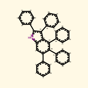 c1ccc(-c2cc3[pH]c(-c4ccccc4)c(-c4ccccc4)c3c(-c3ccccc3)c2-c2ccccc2)cc1